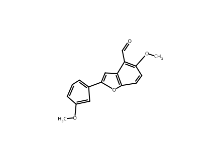 COc1cccc(-c2cc3c(C=O)c(OC)ccc3o2)c1